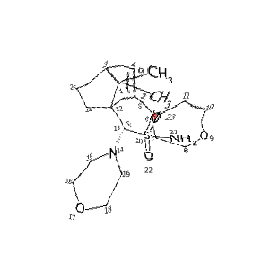 CC1(C)C2C=C(N3CCOCC3)C1([C@@H](N1CCOCC1)S(N)(=O)=O)CC2